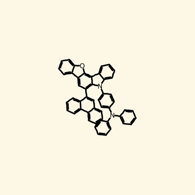 c1ccc(N(c2ccccc2)c2ccc(-n3c4ccccc4c4c5oc6ccccc6c5cc(-c5cc6ccccc6c6ccccc56)c43)cc2)cc1